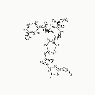 CN1CCCC(NC(=O)CC2CCN(c3ncc(S(C)(=O)=O)cc3NC(=O)c3cccc(Cl)c3)CC2)C1